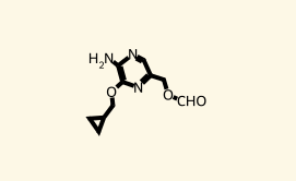 Nc1ncc(COC=O)nc1OCC1CC1